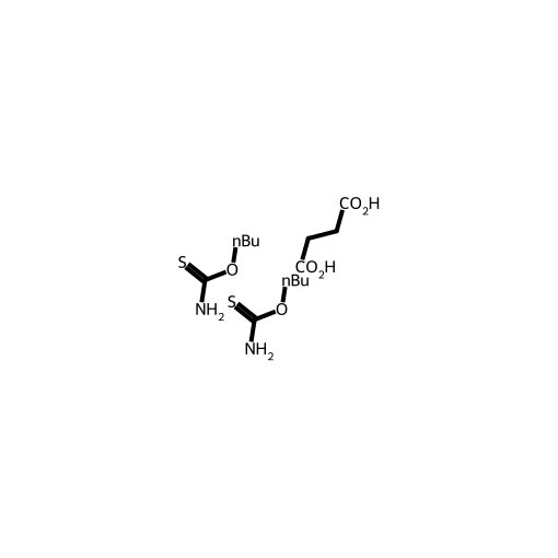 CCCCOC(N)=S.CCCCOC(N)=S.O=C(O)CCC(=O)O